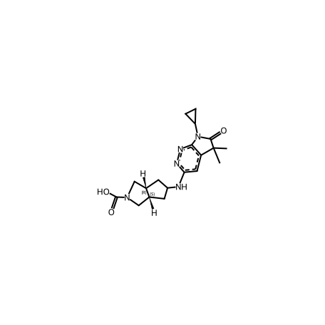 CC1(C)C(=O)N(C2CC2)c2nnc(NC3C[C@@H]4CN(C(=O)O)C[C@@H]4C3)cc21